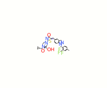 Cc1ccc(Cn2ncc3cc(/C=C4\SC(N5CCN(C(=O)C6CC6)[C@@H](CO)C5)=NC4=O)ccc32)c(C(F)(F)F)c1